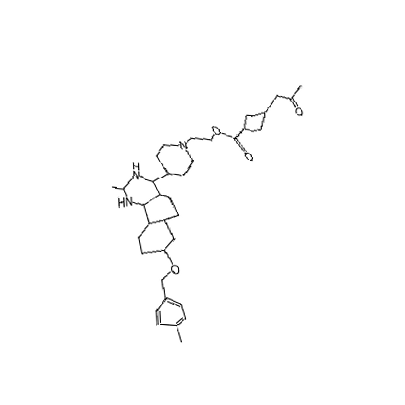 CC(=O)CC1CC(C(=O)OCCN2CCC(C3NC(C)NC4C5CCC(OCc6ccc(C)cc6)CC5CCC34)CC2)C1